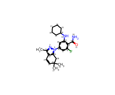 Cc1nn(-c2cc(F)c(C(N)=O)c(NC3CCCCC3)c2)c2c1C=CC(C)(C)C2